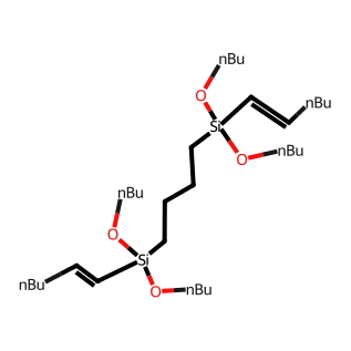 CCCCC=C[Si](CCCC[Si](C=CCCCC)(OCCCC)OCCCC)(OCCCC)OCCCC